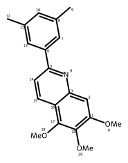 COc1cc2nc(-c3cc(C)cc(C)c3)ccc2c(OC)c1OC